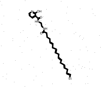 CCC=CCC=CCC=CCC=CCC=CCCCC(=O)NCCNC(=O)c1cccnc1O